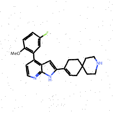 COc1ccc(F)cc1-c1ccnc2[nH]c(C3=CCC4(CCNCC4)CC3)cc12